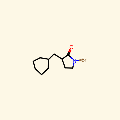 O=C1C(CC2CCCCC2)CCN1Br